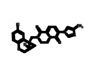 Cc1cn(-c2ccc3n(c2=O)CCN(C[C@@]24C[C@@H]2COc2ccc(Cl)cc24)C3=O)cn1